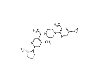 C=C(c1cnc(N2CCCC2=C)cc1C)N1CCN(c2ncc(C3CC3)cc2C)CC1